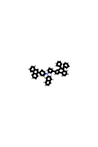 c1ccc(-c2c(-c3ccccc3)c3cc(-c4cccc(N(c5ccc(-c6cc7ccccc7c7ccccc67)cc5)c5ccc6ccccc6c5)c4)ccc3c3ccccc23)cc1